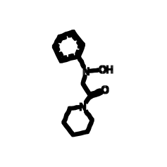 O=C(CN(O)c1ccccc1)N1CCCCC1